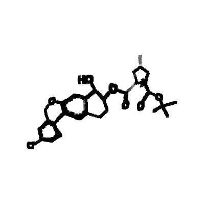 C[C@H]1C[C@@H](C(=O)OC2CCc3cc4c(cc3C2O)OCc2cc(Cl)ccc2-4)N(C(=O)OC(C)(C)C)C1